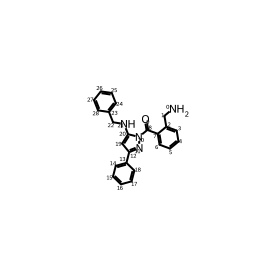 NCc1ccccc1C(=O)n1nc(-c2ccccc2)cc1NCc1ccccc1